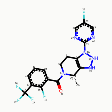 C[C@H]1C2=C(CCN1C(=O)c1cccc(C(F)(F)F)c1F)N(c1ncc(F)cn1)NN2